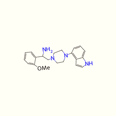 COc1ccccc1C(N)CN1CCN(c2cccc3[nH]ccc23)CC1